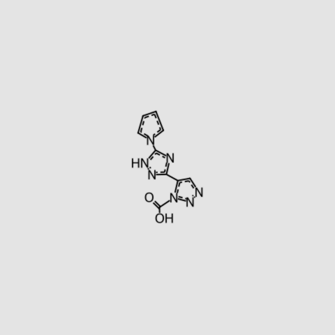 O=C(O)n1nncc1-c1n[nH]c(-n2cccc2)n1